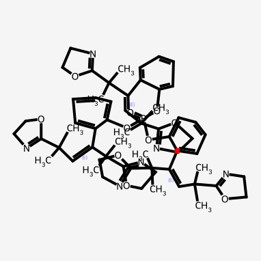 CC(C)(/C=C(\c1ccccc1OP(=O)(Oc1ccccc1/C(=C\C(C)(C)C1=NCCO1)C(C)(C)C1=NCCO1)Oc1ccccc1/C(=C\C(C)(C)C1=NCCO1)C(C)(C)C1=NCCO1)C(C)(C)C1=NCCO1)C1=NCCO1